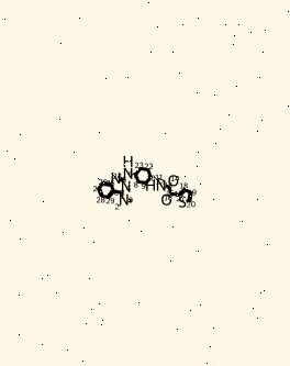 CN(C)c1nc(N[C@H]2CC[C@@H](CNC(=O)C(=O)c3cccs3)CC2)nc2ccccc12